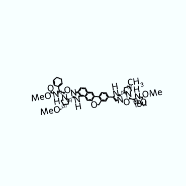 CC[C@H](C)[C@H](NC(=O)OC)C(=O)N1C[C@@H](C)C[C@H]1c1ncc(-c2ccc3c(c2)COc2cc4c(ccc5nc([C@@H]6C[C@H](COC)CN6C(=O)[C@H](NC(=O)OC)C6=CCCC=C6)[nH]c54)cc2-3)[nH]1